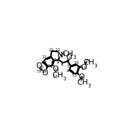 COc1ccc(C(=O)CC2c3c(cc4c(c3OC)OCO4)CCN2C)cc1OC